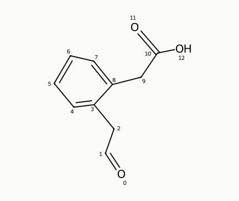 O=CCc1ccccc1CC(=O)O